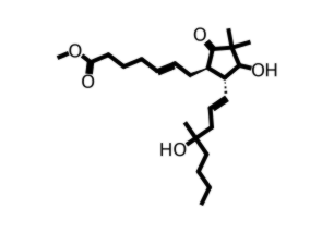 CCCCC(C)(O)CC=C[C@H]1C(O)C(C)(C)C(=O)[C@@H]1CC=CCCCC(=O)OC